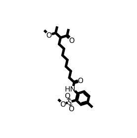 COC(C)C(CCCCCCCC(=O)Nc1ccc(C)cc1S(=O)(=O)OC)C(C)=O